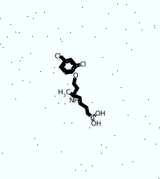 CC(N)(CCCCB(O)O)CCOc1ccc(Cl)cc1Cl